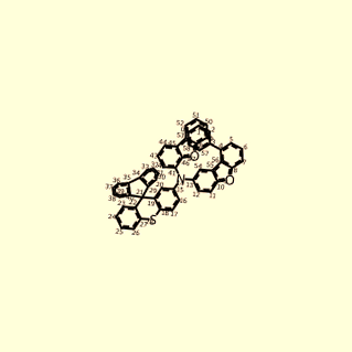 c1ccc(-c2cccc3oc4ccc(N(c5ccc6c(c5)C5(c7ccccc7S6)c6ccccc6-c6ccccc65)c5cccc6c5oc5ccccc56)cc4c23)cc1